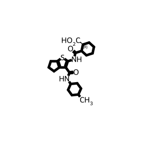 CC1CCC(NC(=O)c2c(NC(=O)C3CCCC[C@H]3C(=O)O)sc3c2CCC3)CC1